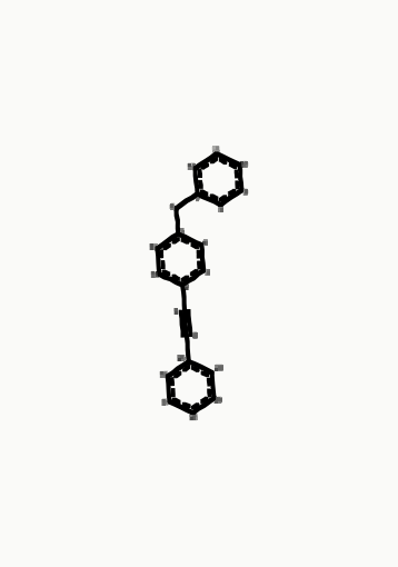 C(#Cc1ccc(Cc2ccccc2)cc1)c1ccccc1